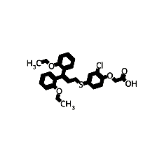 CCOc1ccccc1C(=CCSc1ccc(OCC(=O)O)c(Cl)c1)c1ccccc1OCC